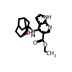 CCOC(=O)c1cnc2[nH]ccc2c1NC12CC3CC(C1)C(C)C(C3)C2